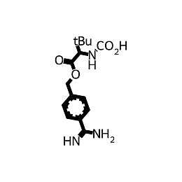 CC(C)(C)C(NC(=O)O)C(=O)OCc1ccc(C(=N)N)cc1